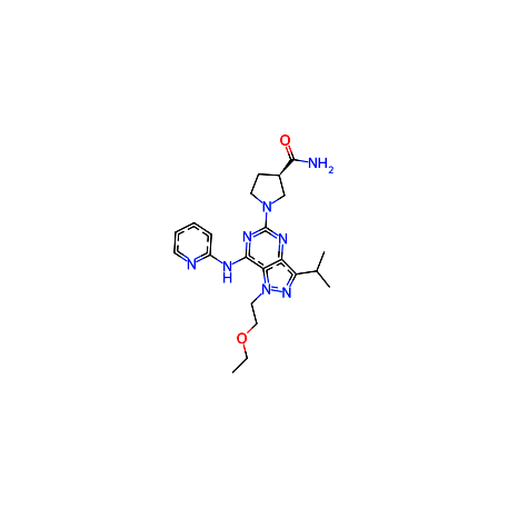 CCOCCn1nc(C(C)C)c2nc(N3CC[C@@H](C(N)=O)C3)nc(Nc3ccccn3)c21